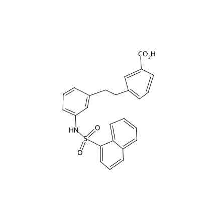 O=C(O)c1cccc(CCc2cccc(NS(=O)(=O)c3cccc4ccccc34)c2)c1